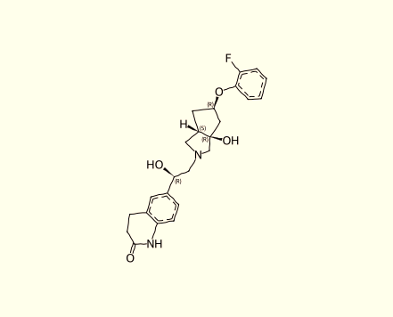 O=C1CCc2cc([C@@H](O)CN3C[C@@H]4C[C@@H](Oc5ccccc5F)C[C@]4(O)C3)ccc2N1